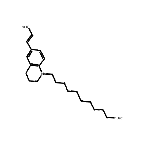 CCCCCCCCCCCCCCCCCCCCN1CCCc2cc(/C=C/C=O)ccc21